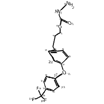 NNC(=O)OCCc1ccc(Oc2ccc(C(F)(F)F)cc2)cc1